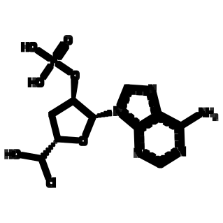 Nc1ncnc2c1ncn2[C@@H]1O[C@H](C(O)Cl)C[C@H]1OP(=O)(O)O